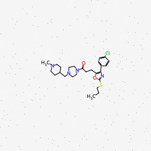 CCCSc1nc(-c2ccc(Cl)cc2)c(CCC(=O)N2CCN(CC3CCN(C)CC3)CC2)o1